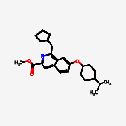 COC(=O)c1cc2ccc(OC3CCC(C(C)C)CC3)cc2c(CC2CCCC2)n1